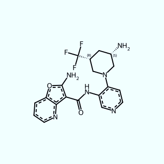 Nc1oc2cccnc2c1C(=O)Nc1cnccc1N1C[C@@H](N)C[C@@H](C(F)(F)F)C1